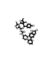 Cc1sc2c(c1C)C(c1ccc(Cl)cc1)=N[C@@H](CC(=O)NC1CCN(c3ncccc3-c3ccc4c(c3)CC(=O)N4)CC1)c1nnc(C)n1-2